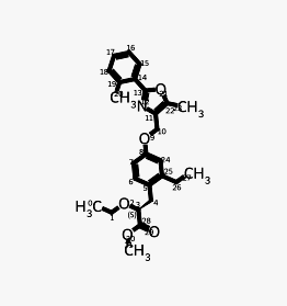 CCO[C@@H](Cc1ccc(OCc2nc(-c3ccccc3C)oc2C)cc1CC)C(=O)OC